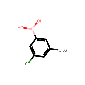 CC(C)COc1cc(Cl)cc(B(O)O)c1